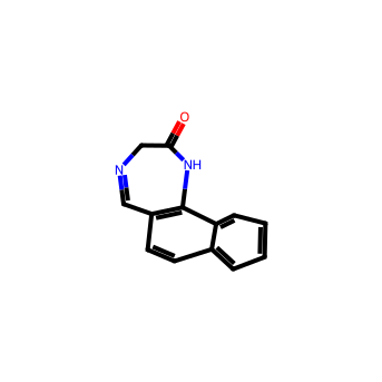 O=C1CN=Cc2ccc3ccccc3c2N1